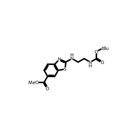 COC(=O)c1ccc2nc(NCCNC(=O)OC(C)(C)C)sc2c1